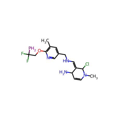 Cc1cc(CN/C=C2\C(N)C=CN(C)C2Cl)cnc1OCC(F)(F)P